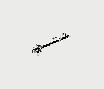 CCN(CC)CCCNCC(O)CCCCCCCCCN1CN(C)c2c1n(C)c(=O)[nH]c2=O